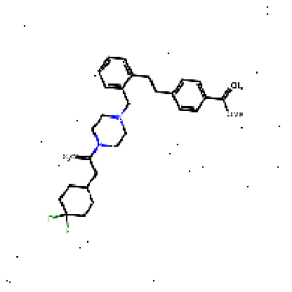 C=C(OC)c1ccc(CCc2ccccc2CN2CCN(C(=C)CC3CCC(F)(F)CC3)CC2)cc1